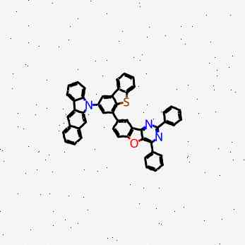 c1ccc(-c2nc(-c3ccccc3)c3oc4ccc(-c5cc(-n6c7ccccc7c7cc8ccccc8cc76)cc6c5sc5ccccc56)cc4c3n2)cc1